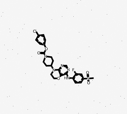 CS(=O)(=O)c1ccc(Nc2ncnc3c2OCCN3C2CCN(C(=O)Oc3ccc(Cl)cc3)CC2)c(F)c1